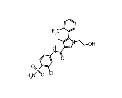 Cc1c(C(=O)Nc2ccc(S(N)(=O)=O)c(Cl)c2)cn(CCO)c1-c1ccccc1C(F)(F)F